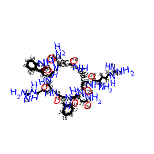 N=C(N)NCCC[C@@H]1NC(=O)[C@@H](Cc2ccccc2)NC(=O)[C@H](CC(N)=O)NC(=O)[C@@H](NC(=O)[C@@H](N)CCCNC(=N)N)CCCNC(=O)CC[C@@H](C(N)=O)NC(=O)[C@H](Cc2c[nH]c3ccccc23)NC1=O